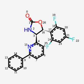 O=C1N[C@H](c2cccc(-c3ccccc3)n2)[C@@H](c2c(F)cc(F)cc2F)O1